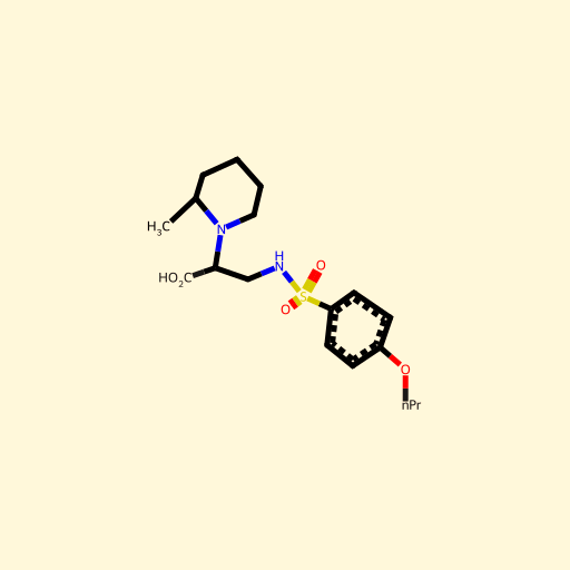 CCCOc1ccc(S(=O)(=O)NCC(C(=O)O)N2CCCCC2C)cc1